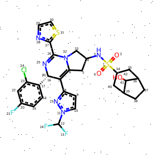 O=S(=O)(NC1CC2=C(c3ccn(C(F)F)n3)[C@H](c3ccc(F)cc3Cl)N=C(c3nccs3)N2C1)C1CC2CCC(C1)C2O